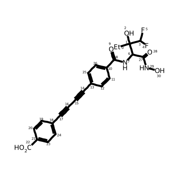 CCC(O)(C(F)F)C(NC(=O)c1ccc(C#CC#Cc2ccc(C(=O)O)cc2)cc1)C(=O)NO